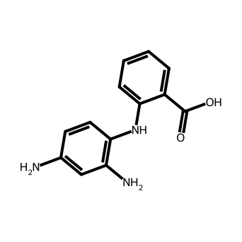 Nc1ccc(Nc2ccccc2C(=O)O)c(N)c1